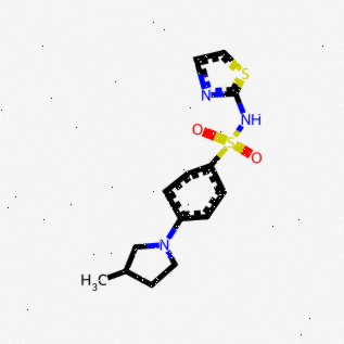 CC1CCN(c2ccc(S(=O)(=O)Nc3nccs3)cc2)C1